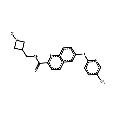 O=C(NCC1C[S+]([O-])C1)c1ccc2cc(Oc3ccc(C(F)(F)F)cn3)ccc2n1